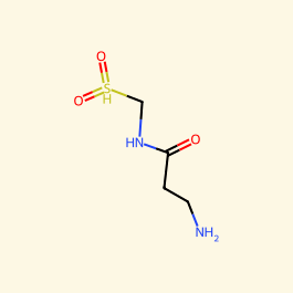 NCCC(=O)NC[SH](=O)=O